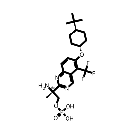 CC(C)(C)[C@H]1CC[C@H](Oc2ccc3nc([C@@](C)(N)COP(=O)(O)O)ncc3c2C(F)(F)F)CC1